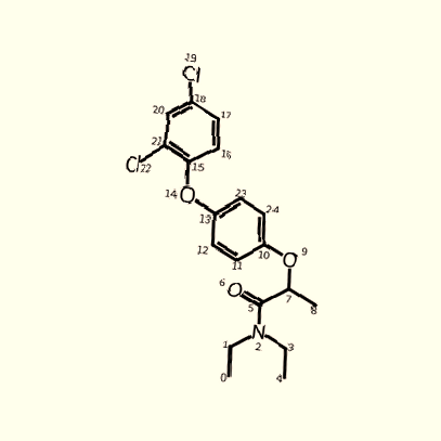 CCN(CC)C(=O)C(C)Oc1ccc(Oc2ccc(Cl)cc2Cl)cc1